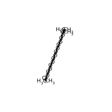 CC(C)C(=O)CCOCCOCCOCCOCCOCCOCCOCCOCCOCCOCCOCCOCCOCCC(=O)C(C)(C)C